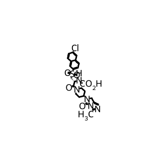 Cc1ncc2n1C(=O)N(C1CCN(C(=O)[C@H](CS(=O)(=O)c3ccc4cc(Cl)ccc4c3)NC(=O)O)CC1)C2